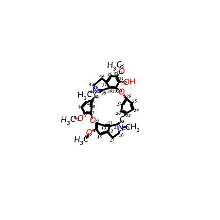 COc1ccc2cc1Oc1cc3c(cc1OC)CCN(C)C3Cc1ccc(cc1)Oc1c(O)c(OC)cc3c1C(C2)N(C)CC3